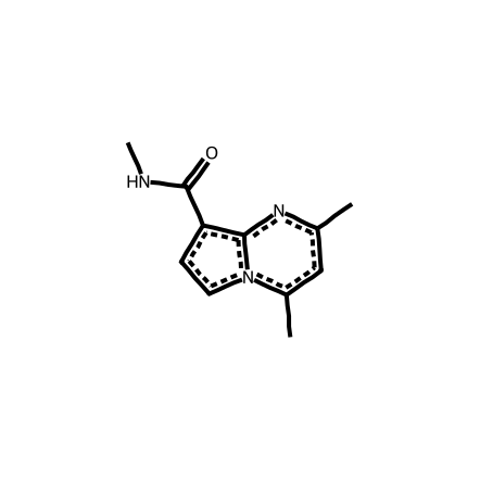 CNC(=O)c1ccn2c(C)cc(C)nc12